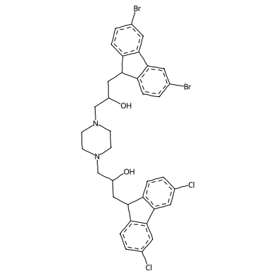 OC(CC1c2ccc(Cl)cc2-c2cc(Cl)ccc21)CN1CCN(CC(O)CC2c3ccc(Br)cc3-c3cc(Br)ccc32)CC1